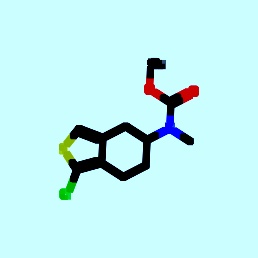 CN(C(=O)OC(C)(C)C)C1CCc2c(csc2Cl)C1